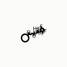 O=C(CCC(=O)C1CCCCCCCCCCCC1)NCC(=O)Oc1c(F)c(F)cc(F)c1F